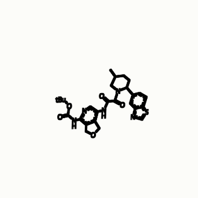 CC1CCC(c2ccc3scnc3c2)N(C(=O)C(=O)Nc2cnc(NC(=O)OC(C)(C)C)c3c2COC3)C1